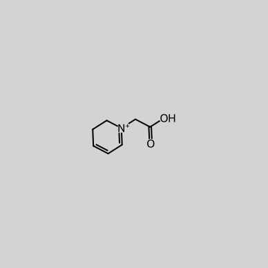 O=C(O)C[N+]1=CC=CCC1